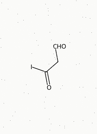 O=CCC(=O)I